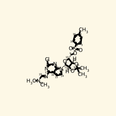 Cc1ccc(S(=O)(=O)OC[C@H]2O[C@@H](n3ccc4c(/N=C/N(C)C)nc(Cl)nc43)[C@@H]3OC(C)(C)O[C@@H]32)cc1